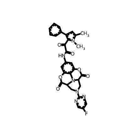 Cc1cc(-c2ccccc2)c(C(=O)C(=O)Nc2cc3c4c(c2)OC(=O)C2CN(c5ncc(F)cn5)CC(C(=O)O3)N42)n1C